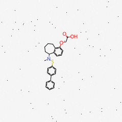 CN(Sc1ccc(-c2ccccc2)cc1)C1CCCCc2c(OCC(=O)O)cccc21